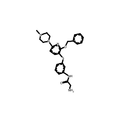 CN1CCN(c2ccc(Sc3cccc(NC(=O)CN)c3)c(OCc3ccccc3)n2)CC1